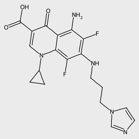 Nc1c(F)c(NCCCn2ccnc2)c(F)c2c1c(=O)c(C(=O)O)cn2C1CC1